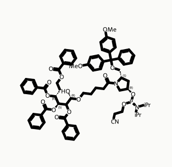 COc1ccc(C(OC[C@@H]2C[C@@H](OP(OCCC#N)N(C(C)C)C(C)C)CN2C(=O)CCCCO[C@@H](O)C(OC(=O)c2ccccc2)[C@@H](OC(=O)c2ccccc2)[C@@H](CCOC(=O)c2ccccc2)OC(=O)c2ccccc2)(c2ccccc2)c2ccc(OC)cc2)cc1